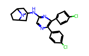 CN1C2CCC1CC(Nc1cnc(-c3ccc(Cl)cc3)c(-c3ccc(Cl)cc3)n1)C2